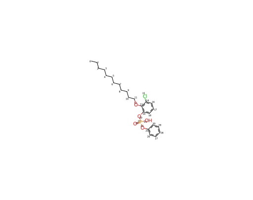 CCCCCCCCCCCCOc1c(Cl)cccc1OP(=O)(O)Oc1ccccc1